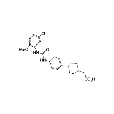 COc1ccc(Cl)cc1NC(=O)Nc1ccc(C2CCC(CC(=O)O)CC2)cc1